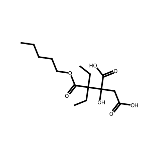 CCCCCOC(=O)C(CC)(CC)C(O)(CC(=O)O)C(=O)O